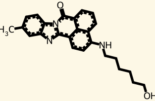 Cc1ccc2c(c1)nc1c3ccc(NCCCCCCO)c4cccc(c(=O)n21)c43